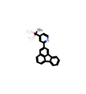 BC(B)(c1ccnc(-c2cc3c4c(cccc4c2)-c2ccccc2-3)c1)C(C)(C)C